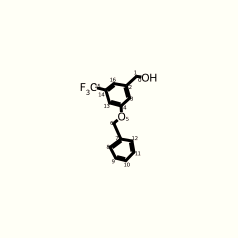 OCc1cc(OCc2ccccc2)cc(C(F)(F)F)c1